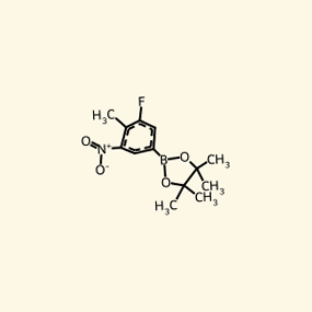 Cc1c(F)cc(B2OC(C)(C)C(C)(C)O2)cc1[N+](=O)[O-]